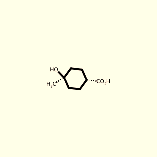 C[C@]1(O)CC[C@H](C(=O)O)CC1